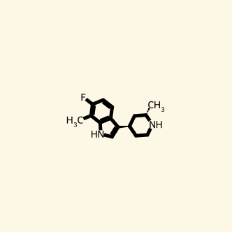 Cc1c(F)ccc2c([C@@H]3CCN[C@@H](C)C3)c[nH]c12